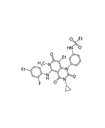 CCc1ccc(Nc2c3c(=O)n(C4CC4)c(=O)n(-c4cccc(NS(=O)(=O)CC)c4)c3c(CC)c(=O)n2C)c(F)c1